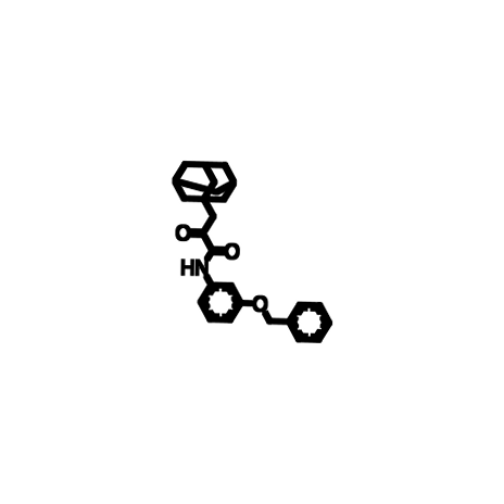 O=C(CC12CC3CC(CC(C3)C1)C2)C(=O)Nc1cccc(OCc2ccccc2)c1